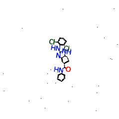 O=C(Nc1ccccc1)C1=CCC2NC(Nc3c(Cl)cccc3Cl)=NC2=C1